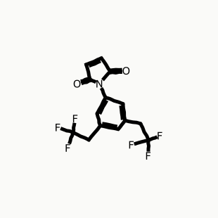 O=C1C=CC(=O)N1c1cc(CC(F)(F)F)cc(CC(F)(F)F)c1